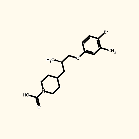 Cc1cc(OC[C@H](C)CC2CCN(C(=O)O)CC2)ccc1Br